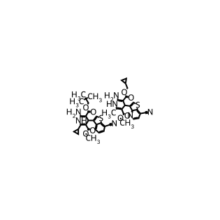 COC(=O)C1=C(C)NC(N)=C(C(=O)OCC2CC2)C1c1csc2c(C#N)ccnc12.COC(=O)C1=C(C2CC2)NC(N)=C(C(=O)OCC(C)(C)C)C1c1csc2c(C#N)cccc12